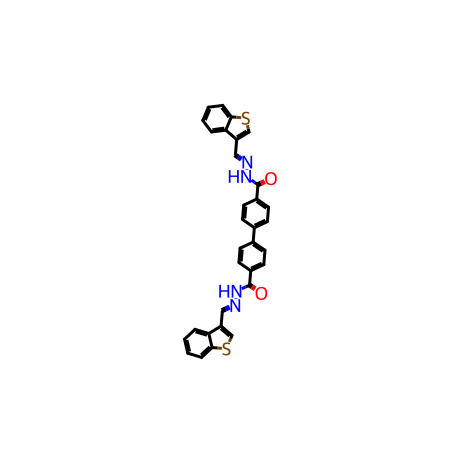 O=C(N/N=C/c1csc2ccccc12)c1ccc(-c2ccc(C(=O)N/N=C/c3csc4ccccc34)cc2)cc1